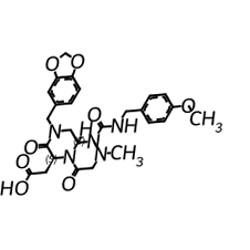 COc1ccc(CNC(=O)N2[C@H]3CN(Cc4ccc5c(c4)OCO5)C(=O)[C@H](CC(=O)O)N3C(=O)CN2C)cc1